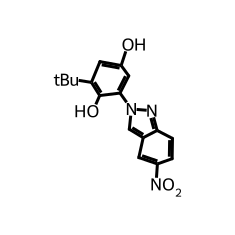 CC(C)(C)c1cc(O)cc(-n2cc3cc([N+](=O)[O-])ccc3n2)c1O